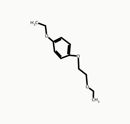 CCOCCOc1ccc(OCC)cc1